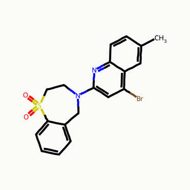 Cc1ccc2nc(N3CCS(=O)(=O)c4ccccc4C3)cc(Br)c2c1